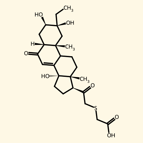 CC[C@]1(O)C[C@]2(C)C3CC[C@]4(C)[C@@H](C(=O)CSCC(=O)O)CC[C@@]4(O)C3=CC(=O)[C@@H]2C[C@H]1O